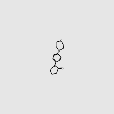 O=C1CCCCN1c1ccc(N2CCOCC2)cc1